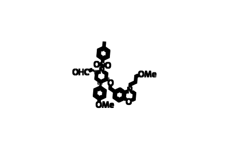 COCCCN1CCOc2ccc(CO[C@H]3CN(S(=O)(=O)c4ccc(C)cc4)[C@@H](CC=O)C[C@@H]3c3ccc(OC)cc3)cc21